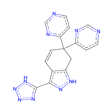 C1=CC(c2ccncn2)(c2ccncn2)Cc2[nH]nc(-c3nnn[nH]3)c21